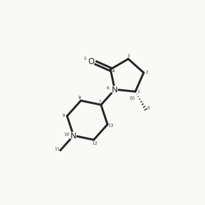 C[C@H]1CCC(=O)N1C1CCN(C)CC1